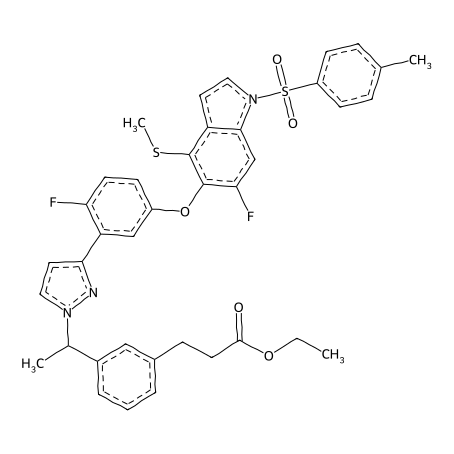 CCOC(=O)CCc1cccc(C(C)n2ccc(-c3cc(Oc4c(F)cc5c(ccn5S(=O)(=O)c5ccc(C)cc5)c4SC)ccc3F)n2)c1